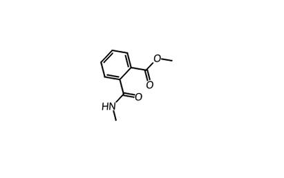 CNC(=O)c1ccccc1C(=O)OC